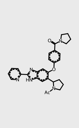 CC(=O)N1CCCC1c1cc2[nH]c(-c3ccccn3)nc2cc1Oc1ccc(C(=O)N2CCCC2)cc1